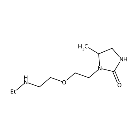 CCNCCOCCN1C(=O)NCC1C